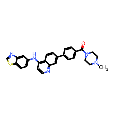 CN1CCN(C(=O)c2ccc(-c3ccc4c(Nc5ccc6scnc6c5)ccnc4c3)cc2)CC1